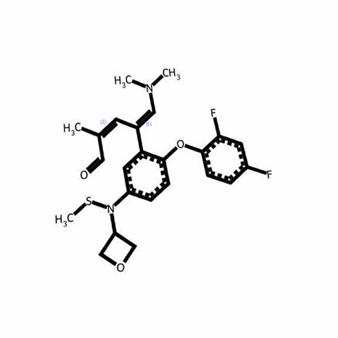 CSN(c1ccc(Oc2ccc(F)cc2F)c(C(/C=C(/C)C=O)=C/N(C)C)c1)C1COC1